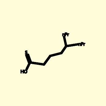 CCCC(CCC)CCCC(O)=S